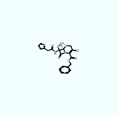 COC1(NC(=O)Cc2cccs2)C(=O)N2C(C(=O)OCc3ccccc3)=C(Cl)CS[C@@H]21